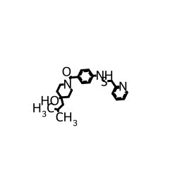 CC(C)CC1(O)CCN(C(=O)c2ccc(NSCc3ccccn3)cc2)CC1